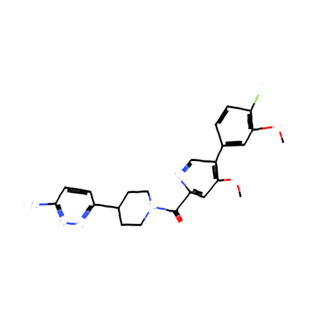 COc1cc(-c2cnc(C(=O)N3CCC(c4ccc(N)nn4)CC3)cc2OC)ccc1F